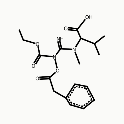 CCOC(=O)N(OC(=O)Cc1ccccc1)C(=N)N(C)C(C(=O)O)C(C)C